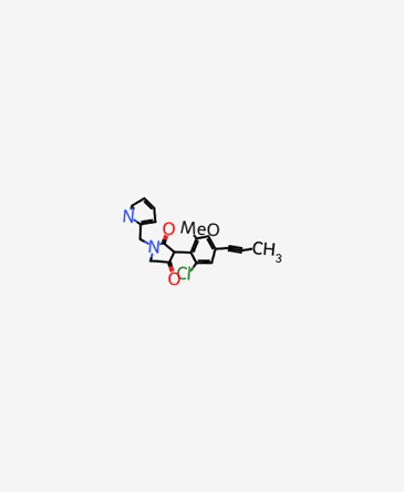 CC#Cc1cc(Cl)c(C2C(=O)CN(Cc3ccccn3)C2=O)c(OC)c1